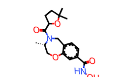 C[C@H]1COc2cc(C(=O)NO)ccc2CN1C(=O)C1CCC(C)(C)O1